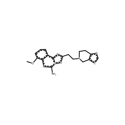 COc1cccc2c1nc(N)n1nc(CCN3CCc4ncsc4C3)nc21